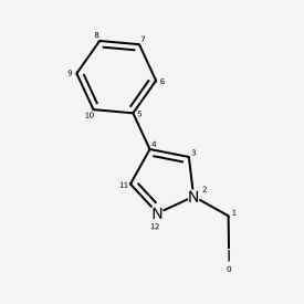 ICn1cc(-c2ccccc2)cn1